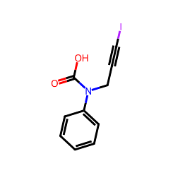 O=C(O)N(CC#CI)c1ccccc1